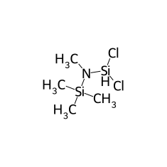 CN([SiH](Cl)Cl)[Si](C)(C)C